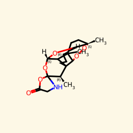 C[C@@H]1CCC23C4OO[C@@]5(C)CCC41C2[C@H](OC1(NCC(=O)O1)[C@@H]3C)O5